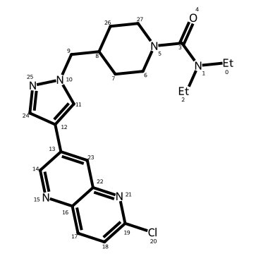 CCN(CC)C(=O)N1CCC(Cn2cc(-c3cnc4ccc(Cl)nc4c3)cn2)CC1